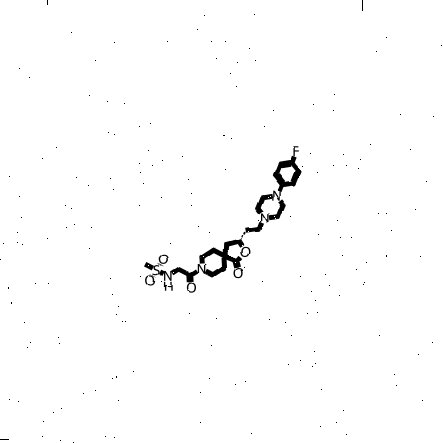 CS(=O)(=O)NCC(=O)N1CCC2(CC1)C[C@H](CCN1CCN(c3ccc(F)cc3)CC1)OC2=O